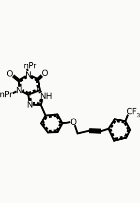 CCCn1c(=O)c2[nH]c(-c3cccc(OCC#Cc4cccc(C(F)(F)F)c4)c3)nc2n(CCC)c1=O